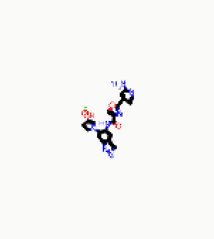 Cn1cc2cc(NC(=O)c3coc(-c4ccnc(N)c4)n3)c(N3CC[C@@H](O)C3)cc2n1.OCl